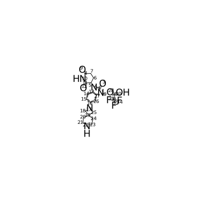 Cn1c(=O)n(C2CCC(=O)NC2=O)c2ccc(N3CC4(CCNCC4)C3)cc21.O=C(O)C(F)(F)F